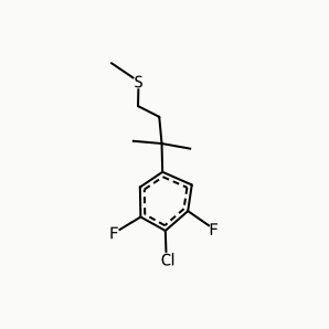 CSCCC(C)(C)c1cc(F)c(Cl)c(F)c1